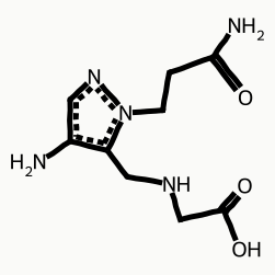 NC(=O)CCn1ncc(N)c1CNCC(=O)O